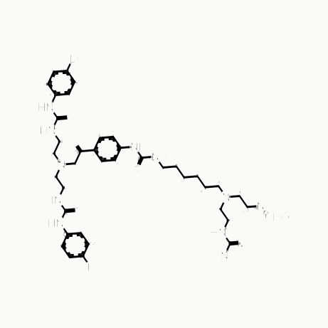 CCc1ccc(NC(=S)NCCN(CCNC(=S)Nc2ccc(CC)cc2)CC(=O)c2ccc(NC(=S)NCCCCCCN(CCNC=O)CCNC(N)=O)cc2)cc1